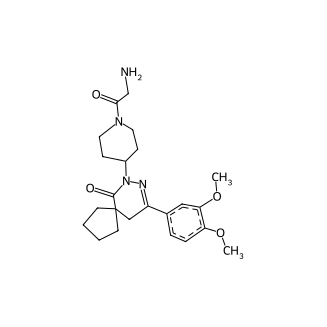 COc1ccc(C2=NN(C3CCN(C(=O)CN)CC3)C(=O)C3(CCCC3)C2)cc1OC